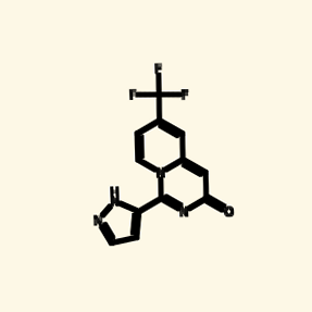 O=c1cc2cc(C(F)(F)F)ccn2c(-c2ccn[nH]2)n1